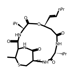 CCC/C=C/[C@H]1CC(=O)N[C@H](C(C)C)C(=O)N[C@@H]2CSC(C)C(NC2=O)C(=O)N[C@@H](C(C)C)C(=O)O1